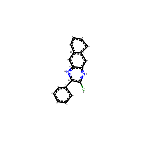 Clc1nc2cc3ccccc3cc2nc1-c1ccccc1